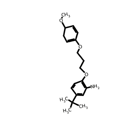 COC1C=CC(OCCCOc2ccc(C(C)(C)C)cc2N)=CC1